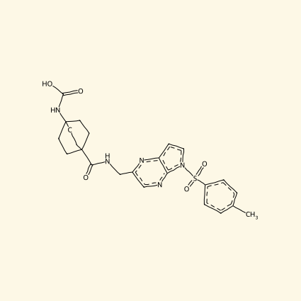 Cc1ccc(S(=O)(=O)n2ccc3nc(CNC(=O)C45CCC(NC(=O)O)(CC4)CC5)cnc32)cc1